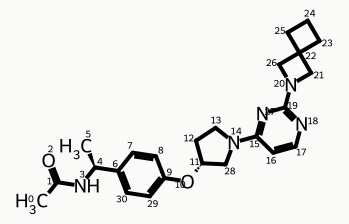 CC(=O)N[C@@H](C)c1ccc(O[C@@H]2CCN(c3ccnc(N4CC5(CCC5)C4)n3)C2)cc1